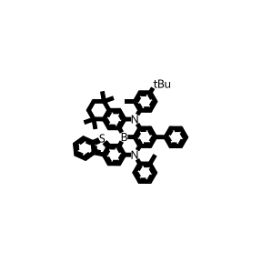 Cc1cc(C(C)(C)C)ccc1N1c2cc3c(cc2B2c4c1cc(-c1ccccc1)cc4N(c1ccccc1C)c1ccc4c(sc5ccccc54)c12)C(C)(C)CCC3(C)C